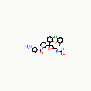 COC(=O)NCCC[C@@](O)(c1cccc(Cl)c1Oc1ccccc1C)[C@@H]1CCCN(C(=O)[C@@H]2CC[C@H](N)C2)C1